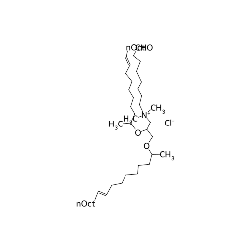 CCCCCCCCC=CCCCCCCC(C)OCC(C[N+](C)(C)CCCCCCCC=O)OC(C)CCCCCCC=CCCCCCCCC.[Cl-]